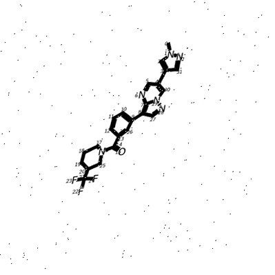 Cn1cc(-c2cnc3c(-c4cccc(C(=O)N5CCCC(C(F)(F)F)C5)c4)cnn3c2)cn1